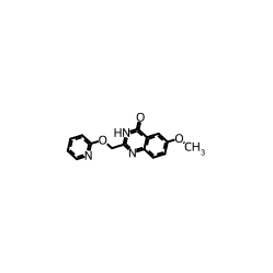 COc1ccc2nc(COc3ccccn3)[nH]c(=O)c2c1